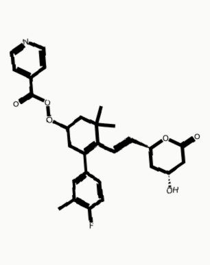 Cc1cc(C2=C(/C=C/[C@@H]3C[C@@H](O)CC(=O)O3)C(C)(C)CC(OOC(=O)c3ccncc3)C2)ccc1F